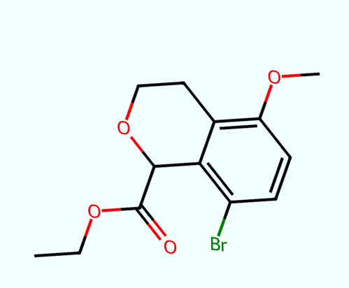 CCOC(=O)C1OCCc2c(OC)ccc(Br)c21